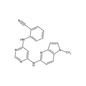 Cn1ccc2nc(Nc3cc(Nc4ccccc4C#N)ncn3)ccc21